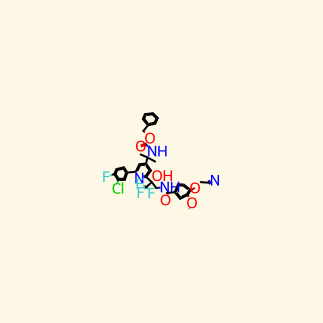 COc1cc(C(=O)NCC(O)(c2cc(C(C)(C)NC(=O)OCc3ccccc3)cc(-c3ccc(F)c(Cl)c3)n2)C(F)(F)F)ccc1OCC#N